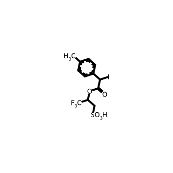 Cc1ccc(C(I)C(=O)OC(CS(=O)(=O)O)C(F)(F)F)cc1